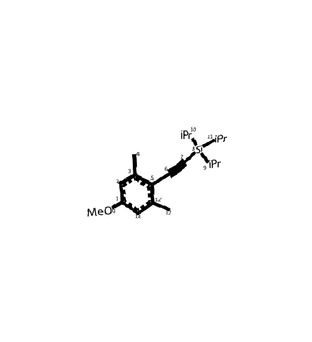 COc1cc(C)c(C#C[Si](C(C)C)(C(C)C)C(C)C)c(C)c1